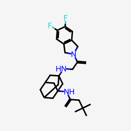 C=C(CC(C)(C)C)NC12CC3CC(CC(NCC(=C)N4Cc5cc(F)c(F)cc5C4)(C3)C1)C2